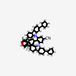 N#Cc1cc(-n2c3cc(-c4ccccc4)ccc3c3ccc(-c4ccccc4)cc32)c(-c2cc(C(F)(F)F)cc(C(F)(F)F)c2)c(-n2c3cc(-c4ccccc4)ccc3c3ccc(-c4ccccc4)cc32)c1